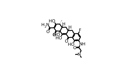 C[C@H]1C(O)=C(C(N)=O)C(=O)[C@@]2(O)C(O)=C3C(=O)c4c(O)c(NC(=O)CN(C)C)cc(F)c4C[C@H]3C[C@@H]12